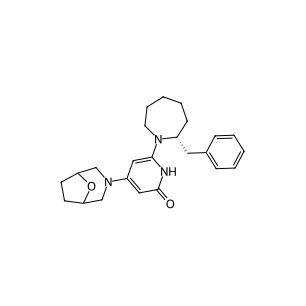 O=c1cc(N2CC3CCC(C2)O3)cc(N2CCCCC[C@@H]2Cc2ccccc2)[nH]1